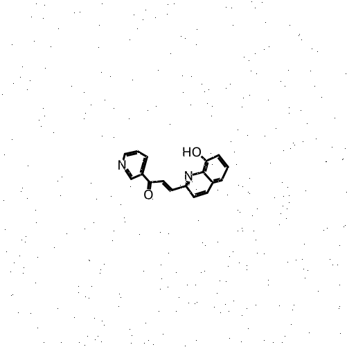 O=C(C=Cc1ccc2cccc(O)c2n1)c1cccnc1